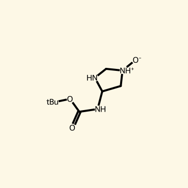 CC(C)(C)OC(=O)NC1C[NH+]([O-])CN1